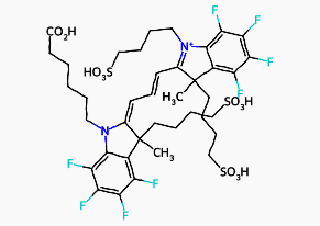 CC1(CCCCS(=O)(=O)O)C(/C=C/C=C2/N(CCCCCC(=O)O)c3c(F)c(F)c(F)c(F)c3C2(C)CCCCS(=O)(=O)O)=[N+](CCCCS(=O)(=O)O)c2c(F)c(F)c(F)c(F)c21